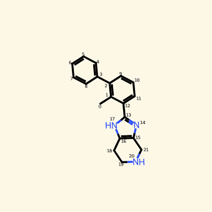 Cc1c(-c2ccccc2)cccc1-c1nc2c([nH]1)CCNC2